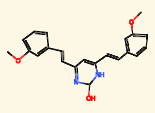 COc1cccc(C=CC2=CC(C=Cc3cccc(OC)c3)=NC(O)N2)c1